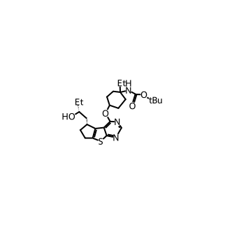 CC[C@@H](O)C[C@H]1CCc2sc3ncnc(OC4CCC(CC)(NC(=O)OC(C)(C)C)CC4)c3c21